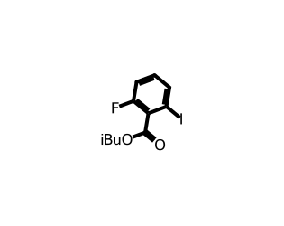 CC(C)COC(=O)c1c(F)cccc1I